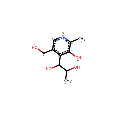 [CH2]C(O)C(O)c1c(CO)cnc(C)c1O